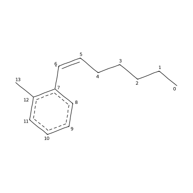 CCCCC/C=[C]\c1ccccc1C